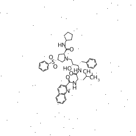 CC(C)C[C@H](NC(=O)c1ccc2ccccc2n1)C(=O)N[C@@H](Cc1ccccc1)[C@H](O)CN1C[C@H](S(=O)(=O)c2ccccc2)C[C@H]1C(=O)NC1CCCC1